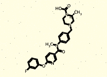 C[C@H]1CN(Cc2ccc(N(C)C(=O)c3ccc(Oc4cccc(F)c4)nc3)cc2)CCN1C(=O)O